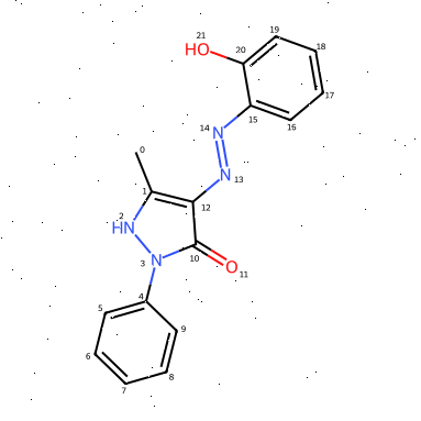 Cc1[nH]n(-c2ccccc2)c(=O)c1/N=N/c1ccccc1O